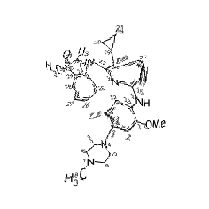 COc1cc(N2CCN(C)CC2)ccc1Nc1ncc(C2CC2)c(Nc2ccccc2P(C)(C)=O)n1